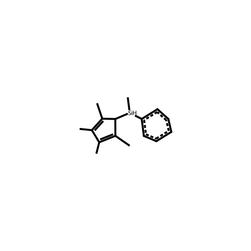 CC1=C(C)C([SiH](C)c2ccccc2)C(C)=C1C